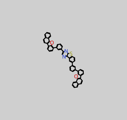 c1cc(-c2ccc3sc4nc(-c5cccc(-c6cccc7c6oc6c8ccccc8ccc76)c5)cnc4c3c2)cc(-c2cccc3c2oc2c4ccccc4ccc32)c1